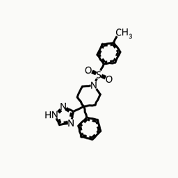 Cc1ccc(S(=O)(=O)N2CCC(c3ccccc3)(c3nc[nH]n3)CC2)cc1